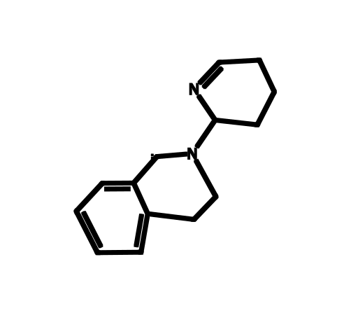 [C]1c2ccccc2CCN1C1CCCC=N1